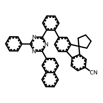 N#Cc1ccc2c(c1)C1(CCCC1)c1cc(-c3ccccc3-c3nc(-c4ccccc4)nc(-c4ccc5ccccc5c4)n3)ccc1-2